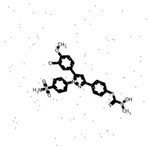 COc1ccc(-c2cc(-c3ccc(SC(=S)N(C)O)cc3)nn2-c2ccc(S(N)(=O)=O)cc2)cc1Cl